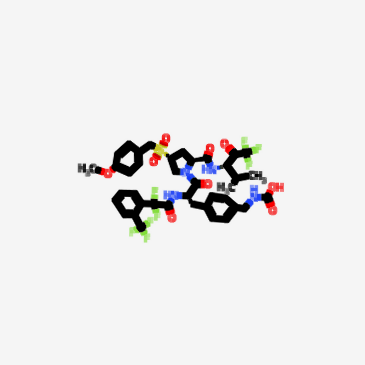 COc1ccc(CS(=O)(=O)[C@@H]2C[C@@H](C(=O)N[C@H](C(=O)C(F)(F)F)C(C)C)N(C(=O)[C@H](Cc3ccc(CNC(=O)O)cc3)NC(=O)C(F)(F)c3ccccc3C(F)(F)F)C2)cc1